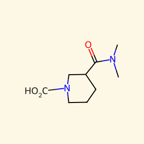 CN(C)C(=O)C1CCCN(C(=O)O)C1